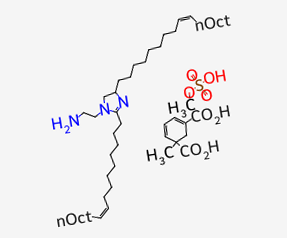 CC1(C(=O)O)C=CC=C(C(=O)O)C1.CCCCCCCC/C=C\CCCCCCCCC1=NC(CCCCCCCC/C=C\CCCCCCCC)CN1CCN.COS(=O)(=O)O